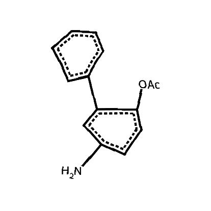 CC(=O)Oc1ccc(N)cc1-c1ccccc1